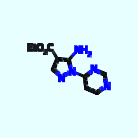 CCOC(=O)c1cnn(-c2ccncn2)c1N